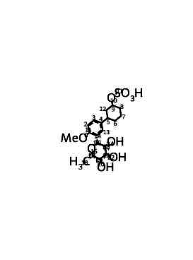 COc1ccc(C2CCCC(OS(=O)(=O)O)C2)cc1[C@H]1O[C@@H](C)[C@@H](O)[C@@H](O)[C@@H]1O